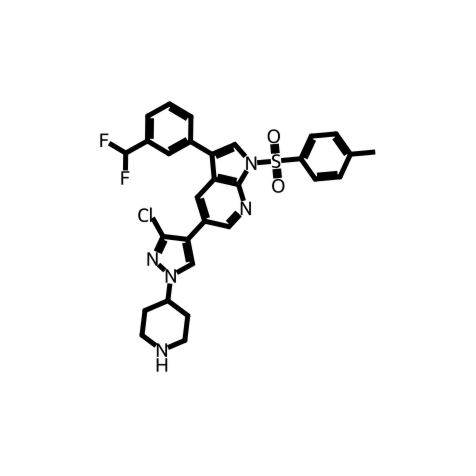 Cc1ccc(S(=O)(=O)n2cc(-c3cccc(C(F)F)c3)c3cc(-c4cn(C5CCNCC5)nc4Cl)cnc32)cc1